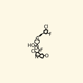 COc1ccc2ncc(Cl)c([C@@H](F)CCC3(C(=O)O)CCN(CC#Cc4cc(F)cc(Cl)c4)CC3)c2c1